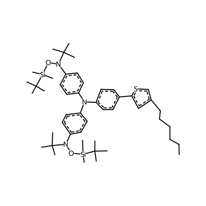 CCCCCCc1csc(-c2ccc(N(c3ccc(N(O[Si](C)(C)C(C)(C)C)C(C)(C)C)cc3)c3ccc(N(O[Si](C)(C)C(C)(C)C)C(C)(C)C)cc3)cc2)c1